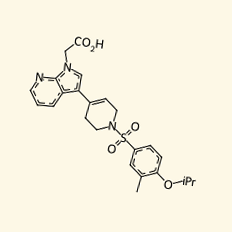 Cc1cc(S(=O)(=O)N2CC=C(c3cn(CC(=O)O)c4ncccc34)CC2)ccc1OC(C)C